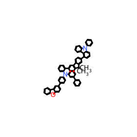 CC1(C)c2ccc(-c3ccccc3N(c3ccc(-c4ccc5oc6ccccc6c5c4)cc3)c3cccc(-c4ccccc4)c3)cc2-c2ccc(-c3cccc4c3c3ccccc3n4-c3ccccc3)cc21